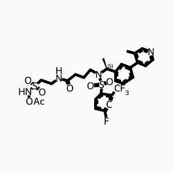 CC(=O)ONS(=O)(=O)CCNC(=O)CCCN([C@@H](C)c1cccc(-c2ccncc2C)c1)S(=O)(=O)c1ccc(F)cc1C(F)(F)F